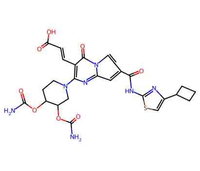 NC(=O)OC1CCN(c2nc3cc(C(=O)Nc4nc(C5CCC5)cs4)ccn3c(=O)c2C=CC(=O)O)CC1OC(N)=O